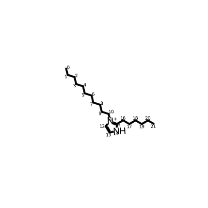 CCCCCCCCCCC[n+]1cc[nH]c1CCCCCC